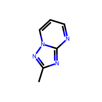 Cc1nc2ncccn2n1